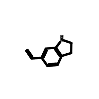 C=Cc1ccc2c(c1)NCC2